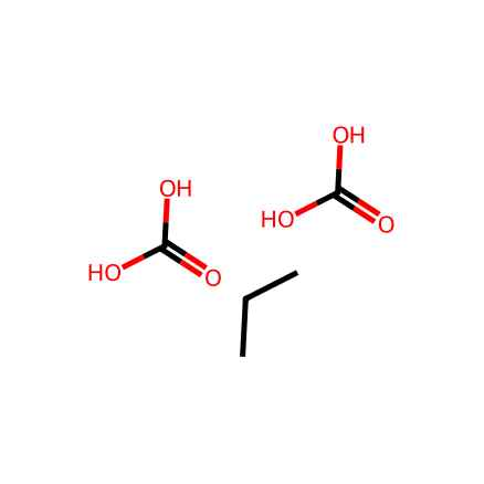 CCC.O=C(O)O.O=C(O)O